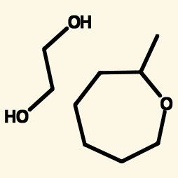 CC1CCCCCO1.OCCO